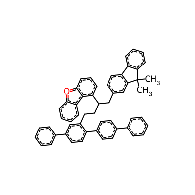 CC1(C)c2ccccc2-c2ccc(CC(CCc3cc(-c4ccccc4)ccc3-c3ccc(-c4ccccc4)cc3)c3cccc4oc5ccccc5c34)cc21